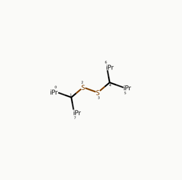 CC(C)C(SSC(C(C)C)C(C)C)C(C)C